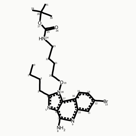 CCCCc1nc2c(N)nc3cc(Br)ccc3c2n1OCCCCNC(=O)OC(C)(C)C